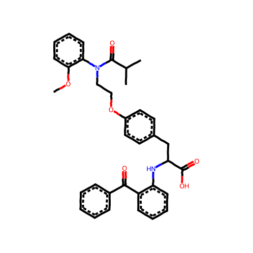 COc1ccccc1N(CCOc1ccc(CC(Nc2ccccc2C(=O)c2ccccc2)C(=O)O)cc1)C(=O)C(C)C